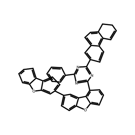 C1=Cc2c(ccc3cc(-c4nc(-c5ccccc5)nc(-c5cccc6oc7ccc(-c8ccc9c(c8)oc8ccccc89)cc7c56)n4)ccc23)CC1